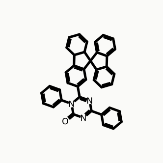 O=c1nc(-c2ccccc2)nc(-c2ccc3c(c2)C2(c4ccccc4-c4ccccc42)C2C=CC=CC32)n1-c1ccccc1